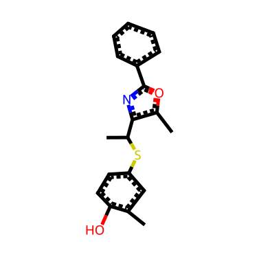 Cc1cc(SC(C)c2nc(-c3ccccc3)oc2C)ccc1O